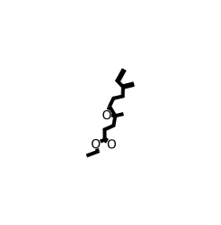 C=CC(=C)CCC1OC1(C)CCC(=O)OCC